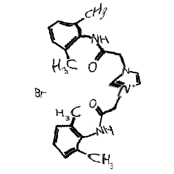 Cc1cccc(C)c1NC(=O)Cn1cc[n+](CC(=O)Nc2c(C)cccc2C)c1.[Br-]